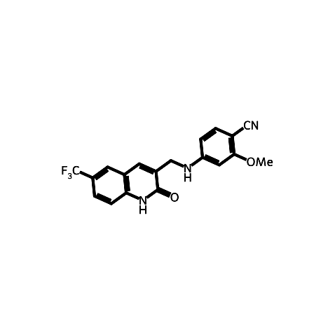 COc1cc(NCc2cc3cc(C(F)(F)F)ccc3[nH]c2=O)ccc1C#N